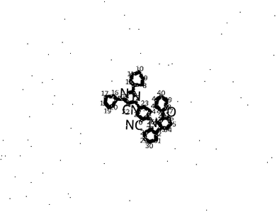 N#Cc1cc(-c2nc(-c3ccccc3)nc(-c3ccccc3)c2C#N)ccc1-n1c2ccccc2c2ccc3oc4ccccc4c3c21